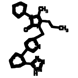 CCCc1c(C)n(-c2ccccc2)c(=O)n1Cc1ccc(-c2ccccc2-c2nnn[nH]2)cn1